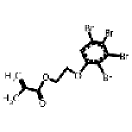 C=C(C)C(=O)OCCOc1cc(Br)c(Br)c(Br)c1Br